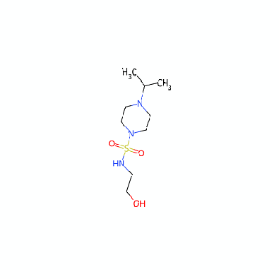 CC(C)N1CCN(S(=O)(=O)NCCO)CC1